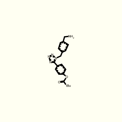 CC(C)(C)C(=O)Oc1ccc(-c2nnnn2Cc2ccc(CN)cc2)cc1